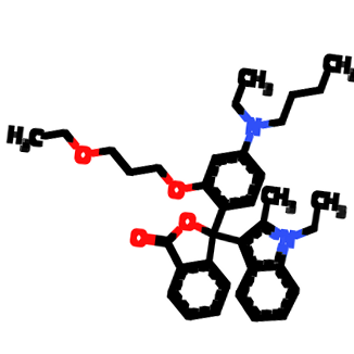 CCCCN(CC)c1ccc(C2(c3c(C)n(CC)c4ccccc34)OC(=O)c3ccccc32)c(OCCCOCC)c1